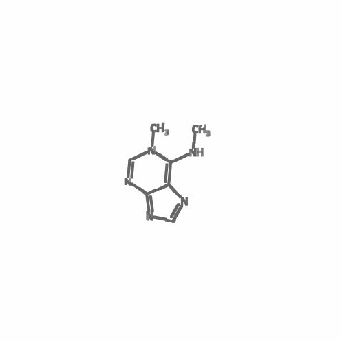 CNc1c2ncnc-2ncn1C